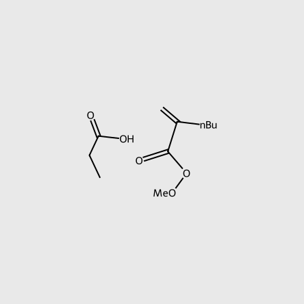 C=C(CCCC)C(=O)OOC.CCC(=O)O